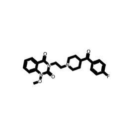 COn1c(=O)n(CCN2CCC(C(=O)c3ccc(F)cc3)CC2)c(=O)c2ccccc21